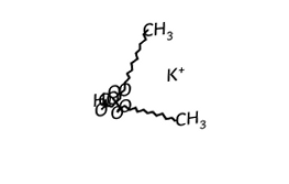 CCCCCCCCCCCCOC(=O)CC(O)(CC(=O)[O-])C(=O)OCCCCCCCCCCCC.[K+]